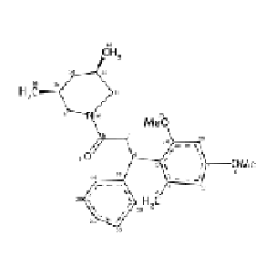 COc1cc(C)c(C(CC(=O)N2C[C@H](C)C[C@H](C)C2)c2ccccc2)c(OC)c1